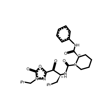 CC(C)C[C@H](NC(=O)N1CCCC[C@@H]1C(=O)Nc1ccccc1)C(=O)c1nn(CC(C)C)c(=O)o1